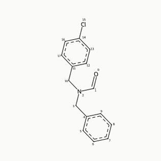 O=[C]N(Cc1ccccc1)Cc1ccc(Cl)cc1